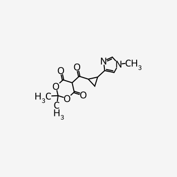 Cn1cnc(C2CC2C(=O)C2C(=O)OC(C)(C)OC2=O)c1